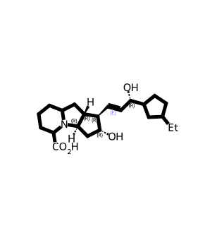 CCC1CCC([C@@H](O)/C=C/[C@@H]2[C@H]3CC4CCCC(C(=O)O)N4[C@@H]3C[C@H]2O)C1